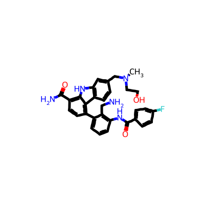 CN(CCO)Cc1ccc2c(c1)[nH]c1c(C(N)=O)ccc(-c3cccc(NC(=O)c4ccc(F)cc4)c3CN)c12